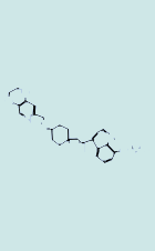 COc1cccc2c(CCC3(O)CCC(NCc4cc5c(cn4)OCCO5)CC3)ccnc12